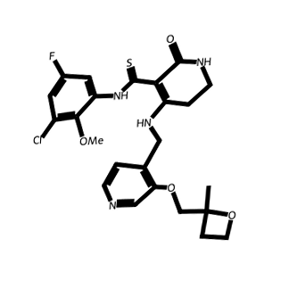 COc1c(Cl)cc(F)cc1NC(=S)C1=C(NCc2ccncc2OCC2(C)CCO2)CCNC1=O